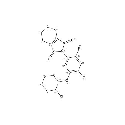 O=C1C2=C(CCCC2)C(=O)N1c1cc(OC2CCCCC2Cl)c(Cl)cc1F